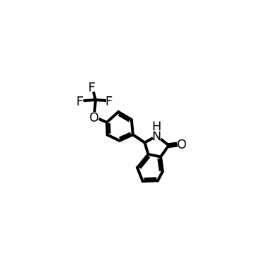 O=C1NC(c2ccc(OC(F)(F)F)cc2)c2ccccc21